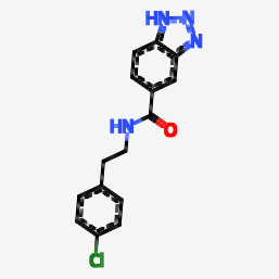 O=C(NCCc1ccc(Cl)cc1)c1ccc2[nH]nnc2c1